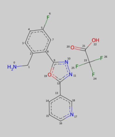 NCc1ccc(F)cc1-c1nnc(-c2cccnc2)o1.O=C(O)C(F)(F)F